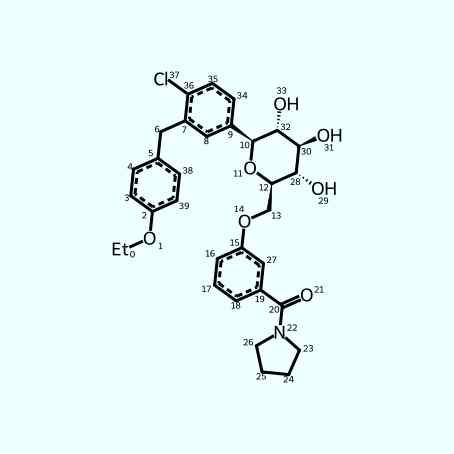 CCOc1ccc(Cc2cc([C@@H]3O[C@H](COc4cccc(C(=O)N5CCCC5)c4)[C@@H](O)[C@H](O)[C@H]3O)ccc2Cl)cc1